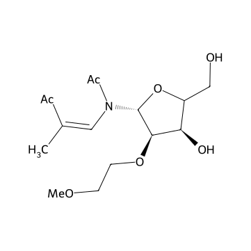 COCCO[C@@H]1[C@H](O)C(CO)O[C@H]1N(/C=C(/C)C(C)=O)C(C)=O